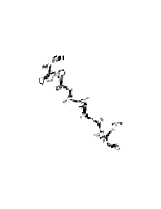 C=CC(=O)OCCSSCCOC(=O)C(C)CC